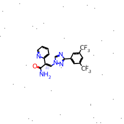 NC(=O)/C(=C/n1cnc(-c2cc(C(F)(F)F)cc(C(F)(F)F)c2)n1)c1ccccn1